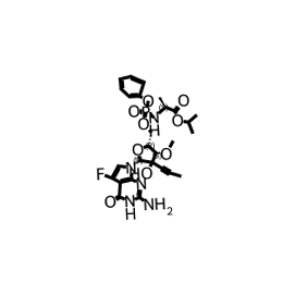 CC#CC1(O)[C@@H](OC)[C@@H](COP(=O)(N[C@@H](C)C(=O)OC(C)C)Oc2ccccc2)O[C@H]1n1cc(F)c2c(=O)[nH]c(N)nc21